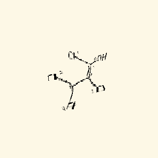 CCC(Cl)C(Cl)=C(O)Cl